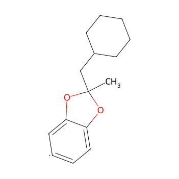 CC1(CC2CCCCC2)Oc2c[c]ccc2O1